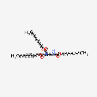 CCCCCCCCCCCCCCOC(=O)CCNCCCN(CCC(=O)OCCCCCCCCCCCCCC)CCC(=O)OCCCCCCCCCCCCCC